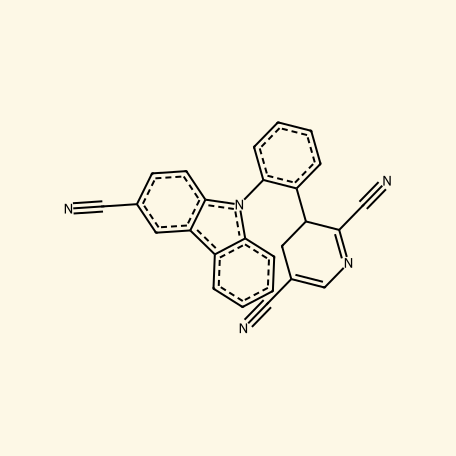 N#CC1=CN=C(C#N)C(c2ccccc2-n2c3ccccc3c3cc(C#N)ccc32)C1